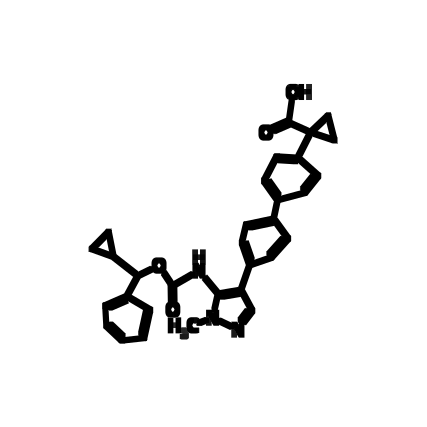 Cn1ncc(-c2ccc(-c3ccc(C4(C(=O)O)CC4)cc3)cc2)c1NC(=O)OC(c1ccccc1)C1CC1